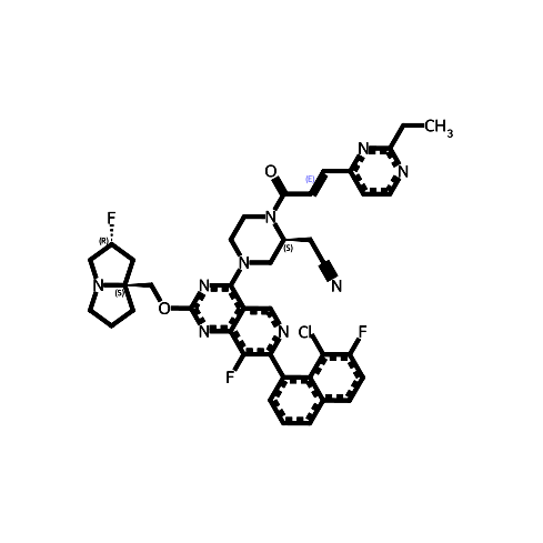 CCc1nccc(/C=C/C(=O)N2CCN(c3nc(OC[C@@]45CCCN4C[C@H](F)C5)nc4c(F)c(-c5cccc6ccc(F)c(Cl)c56)ncc34)C[C@@H]2CC#N)n1